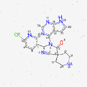 N#CC1(C(=O)N(Cc2ccc(Cl)nc2)c2ncnc3[nH]ccc23)CCNCC1